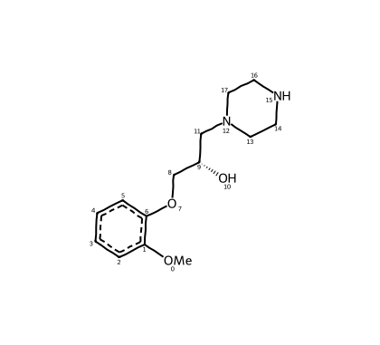 COc1ccccc1OC[C@@H](O)CN1CCNCC1